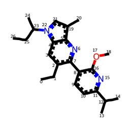 CCc1cc2c(nc1-c1ccc(C(C)C)nc1OC)c(C)cn2C(C)CC